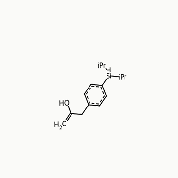 C=C(O)Cc1ccc([SiH](C(C)C)C(C)C)cc1